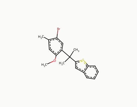 COc1cc(C)c(Br)cc1C(C)(C)c1cc2ccccc2s1